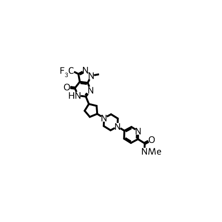 CNC(=O)c1ccc(N2CCN(C3CCC(c4nc5c(c(C(F)(F)F)nn5C)c(=O)[nH]4)C3)CC2)cn1